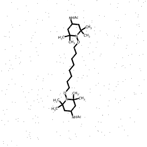 CC(=O)NC1CC(C)(C)N(OCCCCCCCCON2C(C)(C)CC(NC(C)=O)CC2(C)C)C(C)(C)C1